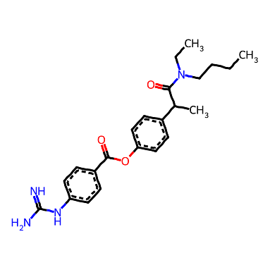 CCCCN(CC)C(=O)C(C)c1ccc(OC(=O)c2ccc(NC(=N)N)cc2)cc1